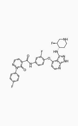 O=C(Nc1ccc(Oc2ccnc3[nH]nc(N[C@H]4CCNC[C@@H]4F)c23)c(F)c1)c1ccnn(-c2ccc(F)cc2)c1=O